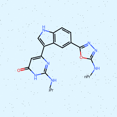 CCCNc1nnc(-c2ccc3[nH]cc(-c4cc(=O)[nH]c(NC(C)C)n4)c3c2)o1